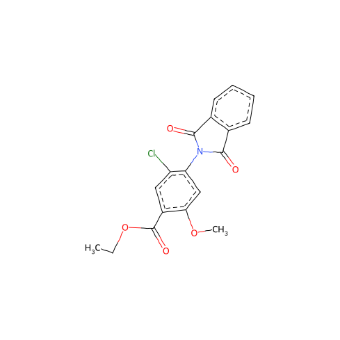 CCOC(=O)c1cc(Cl)c(N2C(=O)c3ccccc3C2=O)cc1OC